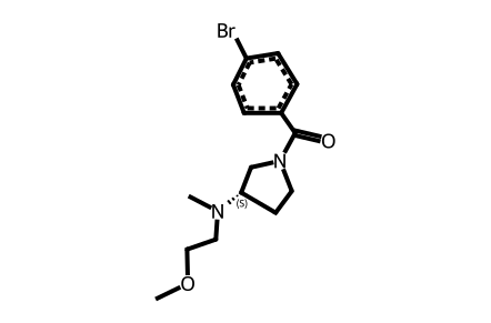 COCCN(C)[C@H]1CCN(C(=O)c2ccc(Br)cc2)C1